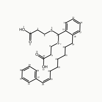 O=C(O)CCSC(SCCC(=O)O)c1ccccc1CCCCCC/C=C\c1ccccc1